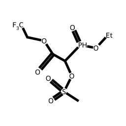 CCO[PH](=O)C(OS(C)(=O)=O)C(=O)OCC(F)(F)F